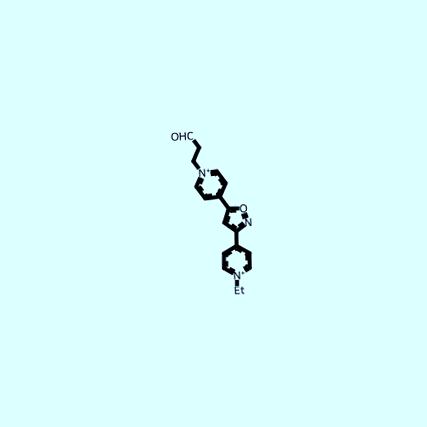 CC[n+]1ccc(-c2cc(-c3cc[n+](CCC=O)cc3)on2)cc1